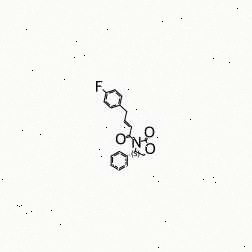 O=C(C=CCc1ccc(F)cc1)N1C(=O)OC[C@@H]1c1ccccc1